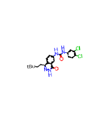 CC(C)(C)CCc1n[nH]c(=O)c2cc(NC(=O)Nc3ccc(Cl)c(Cl)c3)ccc12